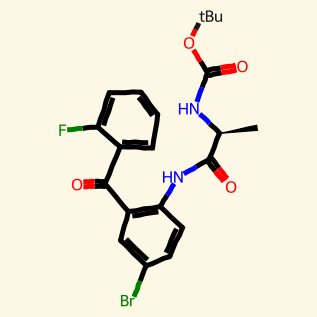 C[C@H](NC(=O)OC(C)(C)C)C(=O)Nc1ccc(Br)cc1C(=O)c1ccccc1F